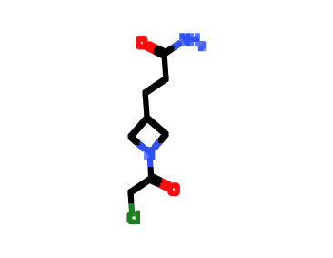 NC(=O)CCC1CN(C(=O)CCl)C1